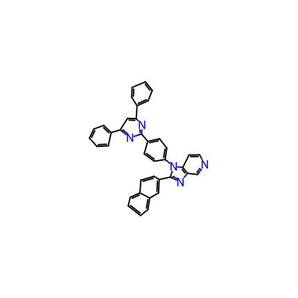 c1ccc(-c2cc(-c3ccccc3)nc(-c3ccc(-n4c(-c5ccc6ccccc6c5)nc5cnccc54)cc3)n2)cc1